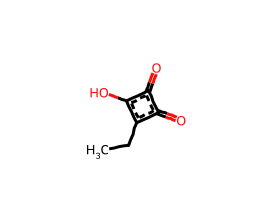 CCc1c(O)c(=O)c1=O